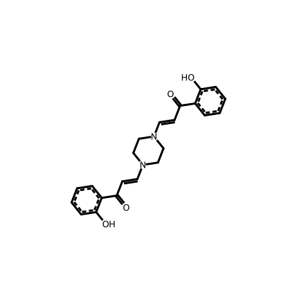 O=C(/C=C/N1CCN(/C=C/C(=O)c2ccccc2O)CC1)c1ccccc1O